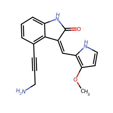 COc1cc[nH]c1/C=C1\C(=O)Nc2cccc(C#CCN)c21